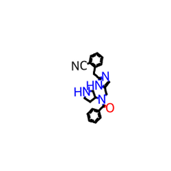 N#Cc1ccccc1Cc1ncc(CN(C(=O)c2ccccc2)C2CCNC2)[nH]1